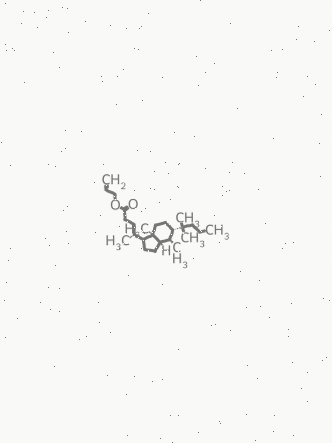 C=CCOC(=O)CC[C@@H](C)C1CC[C@H]2[C@H](C)[C@@H](C(C)(C)CCC)CC[C@]12C